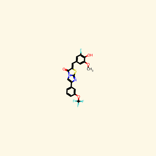 COc1cc(/C=c2\sc3nc(-c4cccc(OC(F)(F)F)c4)cn3c2=O)cc(F)c1O